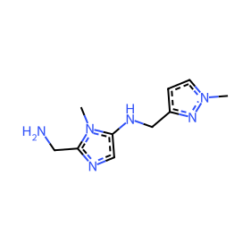 Cn1ccc(CNc2cnc(CN)n2C)n1